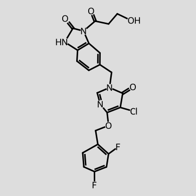 O=C(CCO)n1c(=O)[nH]c2ccc(Cn3cnc(OCc4ccc(F)cc4F)c(Cl)c3=O)cc21